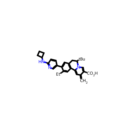 C=C1C=C2c3cc(CC)c(-c4ccc(NC5CCC5)nc4)cc3CC(C(C)(C)C)N2C=C1C(=O)O